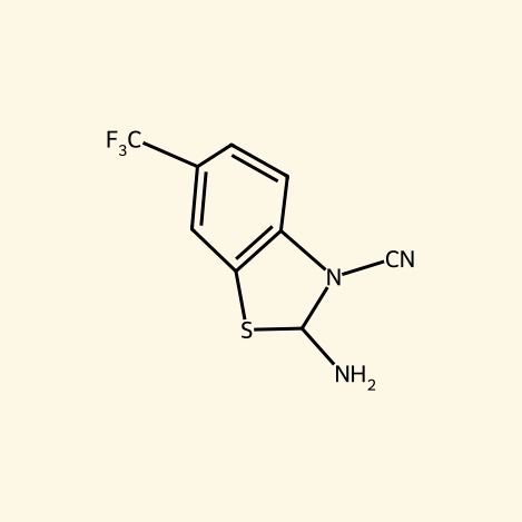 N#CN1c2ccc(C(F)(F)F)cc2SC1N